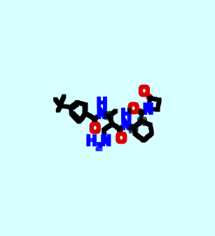 C[C@H](NC(=O)c1ccc(C(C)(C)C)cc1)C(CN)C(=O)N[C@@H]1CCCC[C@@H]1C(=O)N1CCC1=O